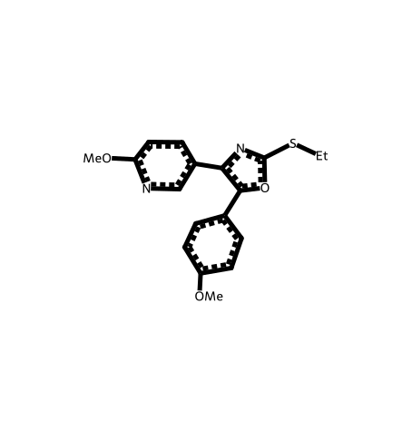 CCSc1nc(-c2ccc(OC)nc2)c(-c2ccc(OC)cc2)o1